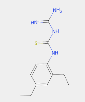 CCc1ccc(NC(=S)NC(=N)N)c(CC)c1